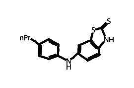 CCCc1ccc(Nc2ccc3[nH]c(=S)sc3c2)cc1